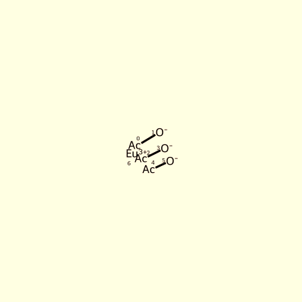 CC(=O)[O-].CC(=O)[O-].CC(=O)[O-].[Eu+3]